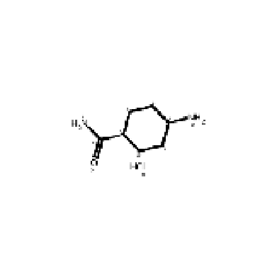 Cl.NC(=O)[C@H]1CC[C@@H](N)CC1